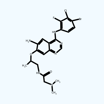 CC(CNC(=O)CN(C)C)Oc1cc2ncnc(Nc3ccc(Br)c(Cl)c3F)c2cc1N